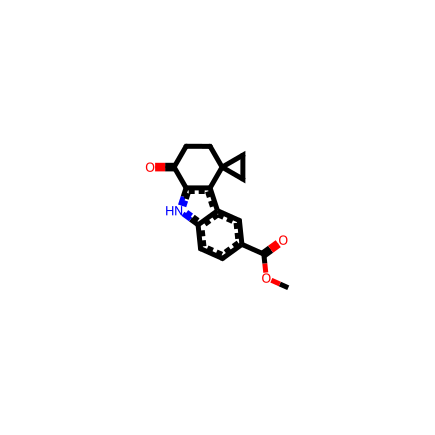 COC(=O)c1ccc2[nH]c3c(c2c1)C1(CCC3=O)CC1